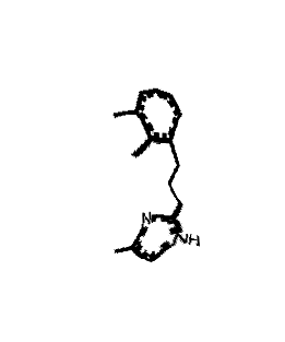 Cc1c[nH]c(CCCc2cccc(C)c2C)n1